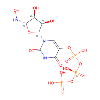 O=c1[nH]c(=O)n([C@@H]2O[C@H](NO)[C@@H](O)[C@H]2O)cc1OP(=O)(O)O[P@@](=O)(O)OP(=O)(O)O